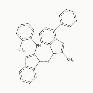 CC1=Cc2c(-c3ccccc3)cccc2[CH]1[Ti][CH]1C(Pc2ccccc2C)=Cc2ccccc21